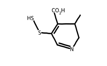 CC1CN=CC(SS)=C1C(=O)O